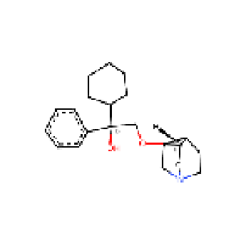 O[C@@](CO[C@H]1CN2CCC1CC2)(c1ccccc1)C1CCCCC1